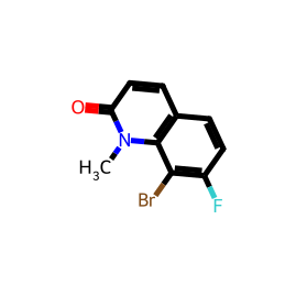 Cn1c(=O)ccc2ccc(F)c(Br)c21